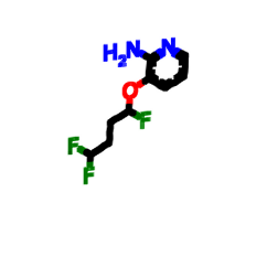 Nc1ncccc1OC(F)CCC(F)F